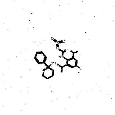 CC(C)c1cc(Cl)cc(C(C)C)c1NC(=O)N=S(=O)=O.OC1(c2ccccc2)CCCCC1